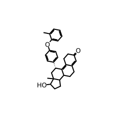 Cc1ccccc1Oc1ccc([C@H]2CC3(C)C(O)CCC3C3CCC4=CC(=O)CCC4=C32)cc1